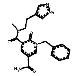 CN(CCc1cn[nH]c1)C(=O)c1cc(C(N)=O)cn(Cc2ccccc2)c1=O